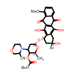 COc1cccc2c1C(=O)c1c(O)c3c(c(O)c1C2=O)C[C@@](O)(C(C)=O)C[C@@H]3O[C@H]1CC(N2CCOCC2C#N)C(OC(=O)OCC(C)C)[C@H](C)O1